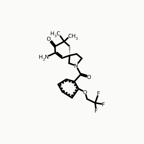 CC1(C)C[C@]2(C=C(N)C1=O)CCN(C(=O)c1ccccc1OCC(F)(F)F)C2